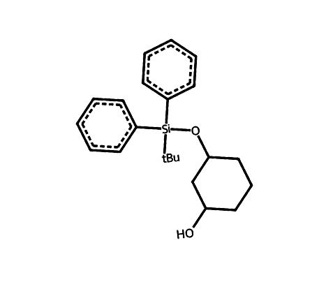 CC(C)(C)[Si](OC1CCCC(O)C1)(c1ccccc1)c1ccccc1